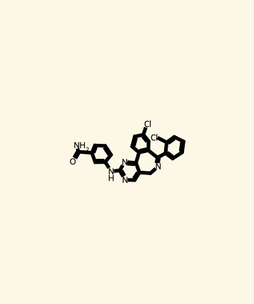 NC(=O)c1cccc(Nc2ncc3c(n2)-c2ccc(Cl)cc2C(c2ccccc2Cl)=NC3)c1